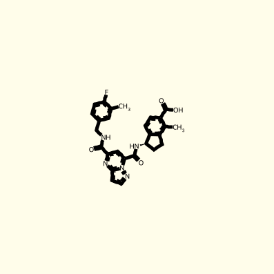 Cc1cc(CNC(=O)c2cc(C(=O)N[C@H]3CCc4c3ccc(C(=O)O)c4C)n3nccc3n2)ccc1F